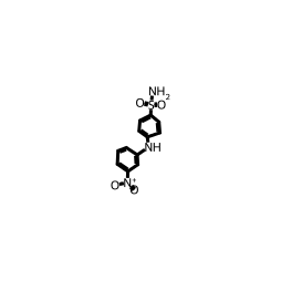 NS(=O)(=O)c1ccc(Nc2cccc([N+](=O)[O-])c2)cc1